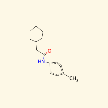 Cc1ccc(NC(=O)CC2CCCCC2)cc1